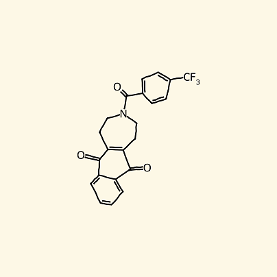 O=C1C2=C(CCN(C(=O)c3ccc(C(F)(F)F)cc3)CC2)C(=O)c2ccccc21